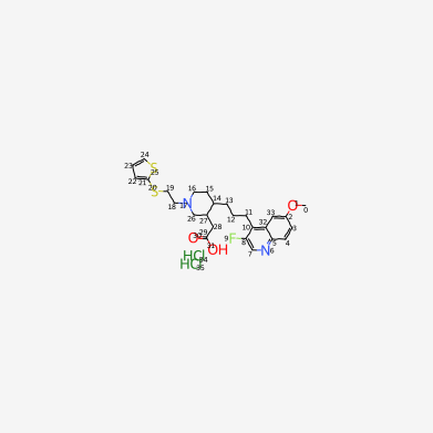 COc1ccc2ncc(F)c(CCCC3CCN(CCSc4cccs4)CC3CC(=O)O)c2c1.Cl.Cl